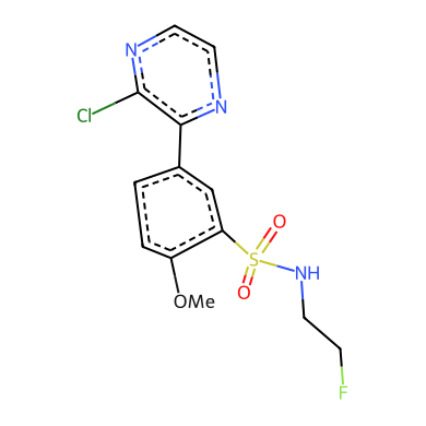 COc1ccc(-c2nccnc2Cl)cc1S(=O)(=O)NCCF